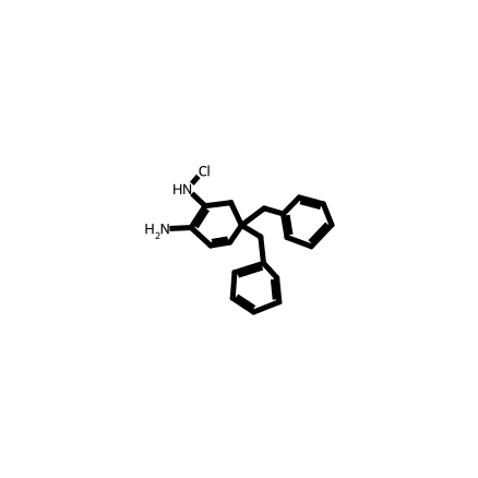 NC1=C(NCl)CC(Cc2ccccc2)(Cc2ccccc2)C=C1